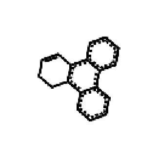 C1=Cc2c(c3ccccc3c3ccccc23)CC1